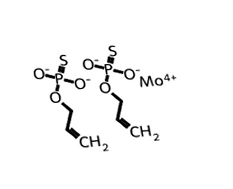 C=CCOP([O-])([O-])=S.C=CCOP([O-])([O-])=S.[Mo+4]